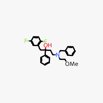 COCCN(CCC(O)(Cc1cc(F)ccc1F)c1ccccc1)Cc1ccccc1